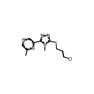 Cc1cncc(-c2nnc(SCCCCl)n2C)n1